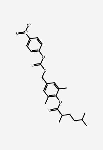 Cc1cc(COC(=O)Oc2ccc([N+](=O)[O-])cc2)cc(C)c1OC(=O)C(C)CCC(C)C